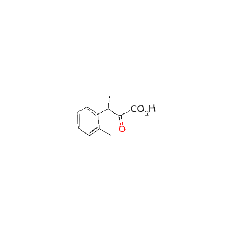 Cc1ccccc1C(C)C(=O)C(=O)O